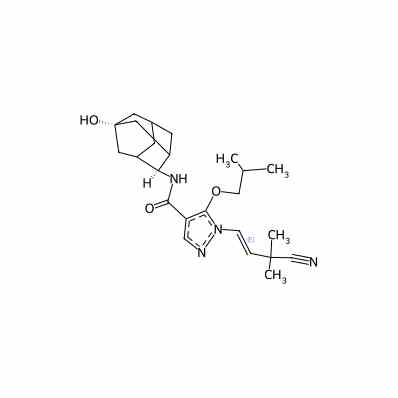 CC(C)COc1c(C(=O)N[C@H]2C3CC4CC2C[C@](O)(C4)C3)cnn1/C=C/C(C)(C)C#N